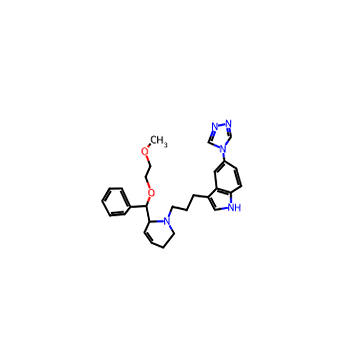 COCCOC(c1ccccc1)C1C=CCCN1CCCc1c[nH]c2ccc(-n3cnnc3)cc12